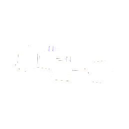 F[C@@H]1CCCN(c2ccc3c(n2)[nH]c2ccncc23)C1